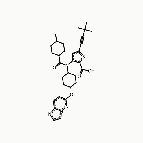 CC1CCC(C(=O)N(c2cc(C#CC(C)(C)C)sc2C(=O)O)[C@H]2CC[C@H](Oc3ccc4nccn4n3)CC2)CC1